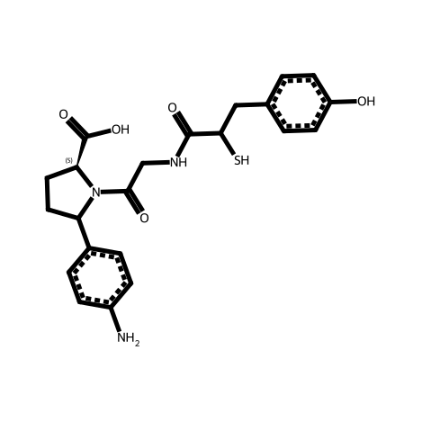 Nc1ccc(C2CC[C@@H](C(=O)O)N2C(=O)CNC(=O)C(S)Cc2ccc(O)cc2)cc1